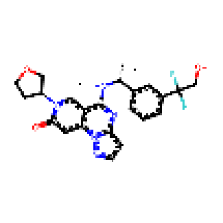 C[C@@H](Nc1nc2ccnn2c2cc(=O)n([C@H]3CCOC3)cc12)c1cccc(C(F)(F)CO)c1